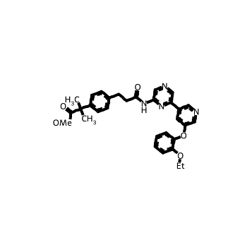 CCOc1ccccc1Oc1cncc(-c2cncc(NC(=O)CCc3ccc(C(C)(C)C(=O)OC)cc3)n2)c1